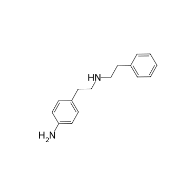 Nc1ccc(CCNCCc2ccccc2)cc1